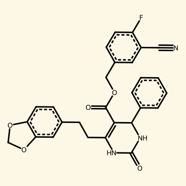 N#Cc1cc(COC(=O)C2=C(CCc3ccc4c(c3)OCO4)NC(=O)NC2c2ccccc2)ccc1F